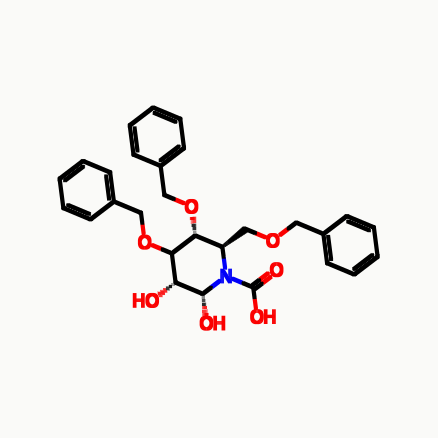 O=C(O)N1[C@H](O)[C@H](O)C(OCc2ccccc2)[C@H](OCc2ccccc2)[C@H]1COCc1ccccc1